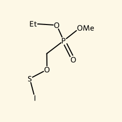 CCOP(=O)(COSI)OC